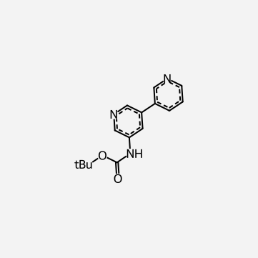 CC(C)(C)OC(=O)Nc1cncc(-c2cccnc2)c1